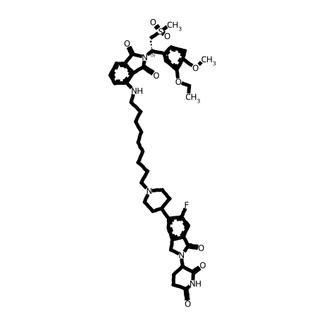 CCOc1cc([C@@H](CS(C)(=O)=O)N2C(=O)c3cccc(NCCCCCCCCCN4CCC(c5cc6c(cc5F)C(=O)N(C5CCC(=O)NC5=O)C6)CC4)c3C2=O)ccc1OC